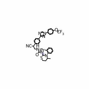 CC(C)c1ccccc1N1/C(=N/C(=O)NCC(C#N)c2ccc(-c3ncn(-c4ccc(OC(F)(F)F)cc4)n3)cc2)SCCC1C